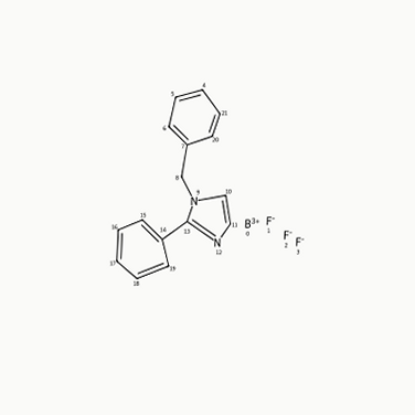 [B+3].[F-].[F-].[F-].c1ccc(Cn2ccnc2-c2ccccc2)cc1